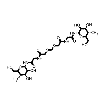 C[C@@H]1C(CO)O[C@H](NC(=O)CNC(=O)CSCSCC(=O)NCC(=O)N[C@H]2OC(CO)[C@@H](C)[C@H](O)C2O)C(O)[C@H]1O